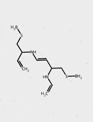 BSCC(C=C)NC=CC(CSB)NC=C